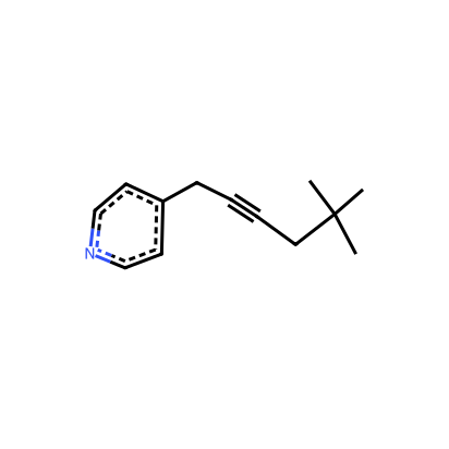 CC(C)(C)CC#CCc1ccncc1